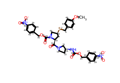 COc1ccc(CS[C@H]2C[C@@H](C(=O)N3CC[C@H](NC(=O)OCc4ccc([N+](=O)[O-])cc4)C3)N(C(=O)OCc3ccc([N+](=O)[O-])cc3)C2)cc1